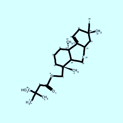 CC(C)(CC(=O)OC[C@]1(C)CCC[C@@]2(C)C3=CC[C@](C)(I)CC3CCC12)C(=O)O